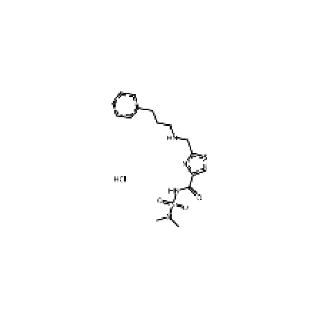 CN(C)S(=O)(=O)NC(=O)c1csc(CNCCCc2ccccc2)n1.Cl